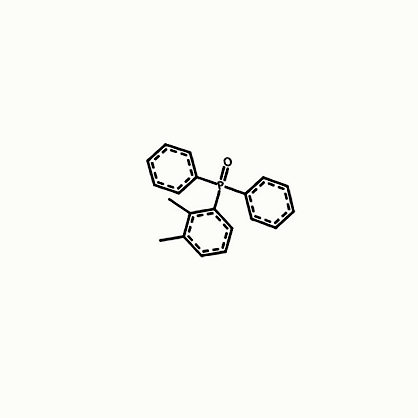 Cc1cccc(P(=O)(c2ccccc2)c2ccccc2)c1C